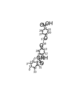 Cc1c(C)c(C)c(S(=O)(=O)Nc2ccc(OCCOc3ccc(C(=O)O)cc3)cc2)c(C)c1C